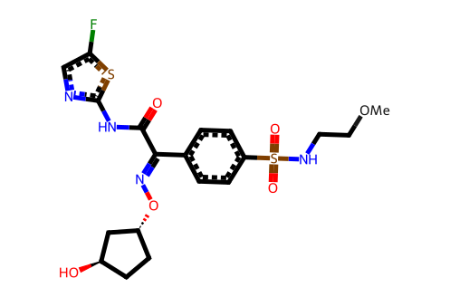 COCCNS(=O)(=O)c1ccc(/C(=N\O[C@@H]2CC[C@@H](O)C2)C(=O)Nc2ncc(F)s2)cc1